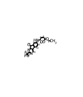 CCOC(=O)/C=C\C(=O)Nc1ccc2c(c1)C(=O)c1nc(C(F)(F)F)ncc1-2